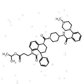 CC(C)OC(=O)CCNC(=O)[C@@]1(c2ccccc2)CC[C@H](C(=O)N2CCC(NC(=O)c3ccccc3N3CCN(C)CC3)CC2)c2ccccc21